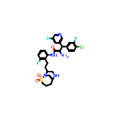 NC(C(=O)Nc1cccc(F)c1CCC1CNC2CCCS(=O)(=O)N1C2)C(c1cncc(F)c1)c1ccc(Cl)c(F)c1